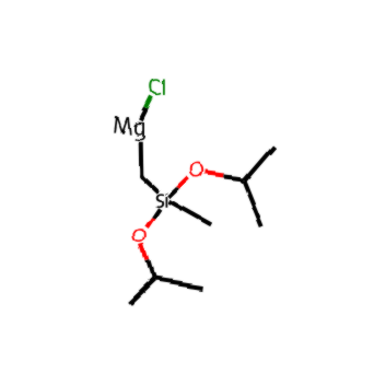 CC(C)O[Si](C)([CH2][Mg][Cl])OC(C)C